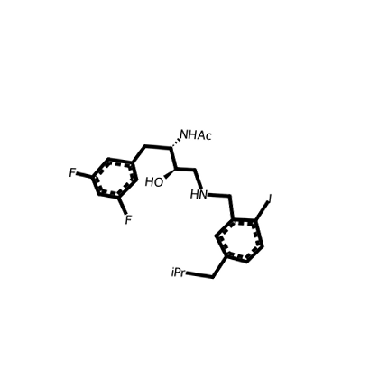 CC(=O)N[C@@H](Cc1cc(F)cc(F)c1)[C@H](O)CNCc1cc(CC(C)C)ccc1I